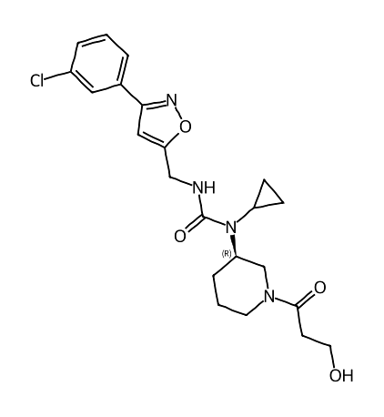 O=C(CCO)N1CCC[C@@H](N(C(=O)NCc2cc(-c3cccc(Cl)c3)no2)C2CC2)C1